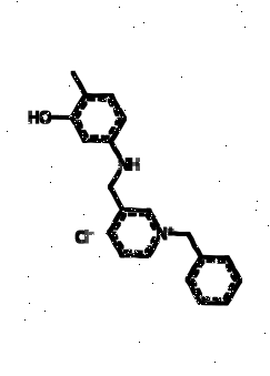 Cc1ccc(NCc2ccc[n+](Cc3ccccc3)c2)cc1O.[Cl-]